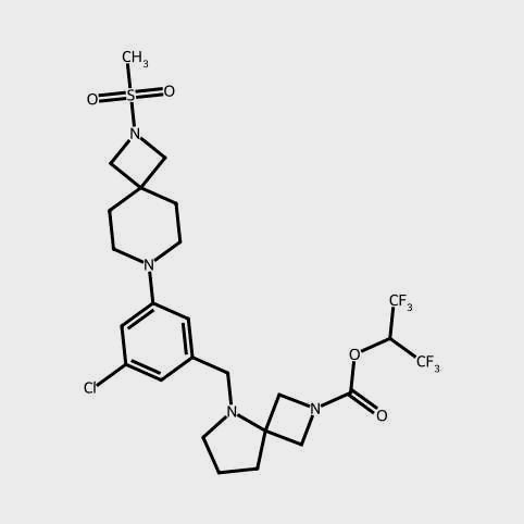 CS(=O)(=O)N1CC2(CCN(c3cc(Cl)cc(CN4CCCC45CN(C(=O)OC(C(F)(F)F)C(F)(F)F)C5)c3)CC2)C1